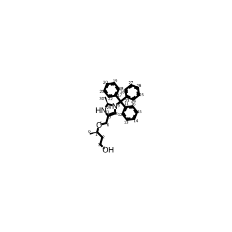 C[C@H](CCO)OCC1=CN(C(c2ccccc2)(c2ccccc2)c2ccccc2)[C@H](C)N1